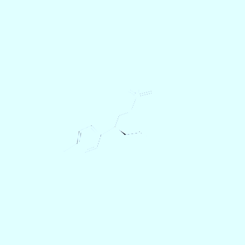 NC[C@H](CO[SH](=O)=O)c1ccc(Cl)cc1